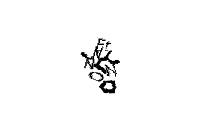 [CH2]Cn1c(C)nc2c(Oc3ccccc3)nc(C)c(C)c21